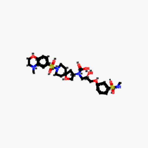 CNS(=O)(=O)c1cccc(OC[C@@H](O)CN(C(=O)O)[C@H]2COC3(CCN(S(=O)(=O)c4ccc5c(c4)N(C)CCO5)CC3)C2)c1